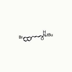 CC(C)(C)CNC(=O)/C=C/C=C/Cc1ccc2ccc(Br)cc2c1